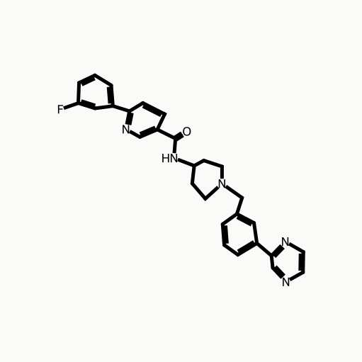 O=C(NC1CCN(Cc2cccc(-c3cnccn3)c2)CC1)c1ccc(-c2cccc(F)c2)nc1